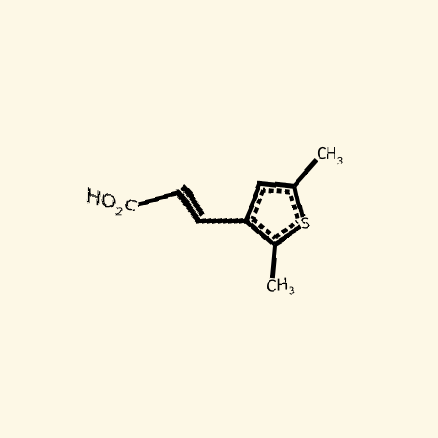 Cc1cc(C=CC(=O)O)c(C)s1